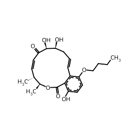 CCCCOc1ccc(O)c2c1/C=C/C[C@H](O)[C@H](O)C(=O)/C=C\[C@@H](C)[C@H](C)OC2=O